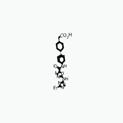 CCc1nsc(Nc2nnc(C(=O)Nc3ccc([C@H]4CC[C@H](CC(=O)O)CC4)cc3)o2)n1